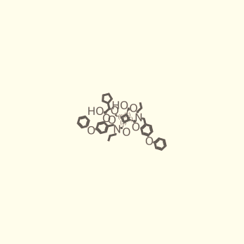 CCCN(Cc1ccc(Oc2ccccc2)cc1)C(=O)[C@@H]1[C@H](C(=O)O)[C@@H](C(=O)OC(C(=O)O)C2CCCC2)[C@H]1C(=O)N(CCC)Cc1ccc(Oc2ccccc2)cc1